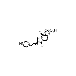 O=C(NOCCN1CCNCC1)[C@@H]1CC[C@@H]2CN1C(=O)N2OS(=O)(=O)O